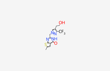 Cc1cc2c(=O)[nH]c(Cn3cc(CCO)c(C(F)(F)F)n3)nc2s1